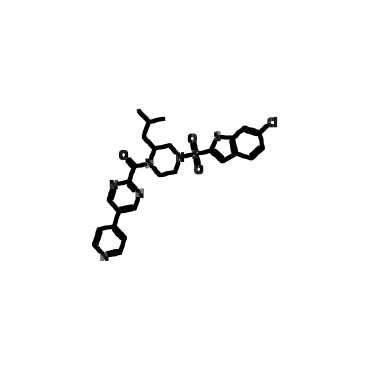 CC(C)CC1CN(S(=O)(=O)c2cc3ccc(Cl)cc3s2)CCN1C(=O)c1ncc(-c2ccncc2)cn1